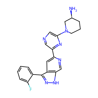 N[C@H]1CCCN(c2cncc(-c3cc4c(-c5ccccc5F)n[nH]c4cn3)n2)C1